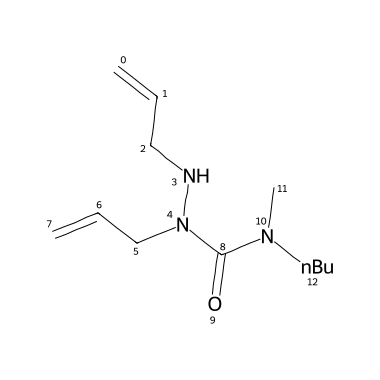 C=CCNN(CC=C)C(=O)N(C)CCCC